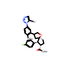 CCc1cnnn1-c1ccc(OC)c(C2CO[C@]3(CC[C@H](C(=O)OC)[C@H]3c3ccc(F)cc3)C2)c1